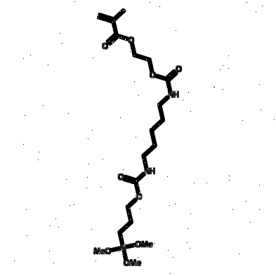 C=C(C)C(=O)OCCOC(=O)NCCCCCNC(=O)OCCC[Si](OC)(OC)OC